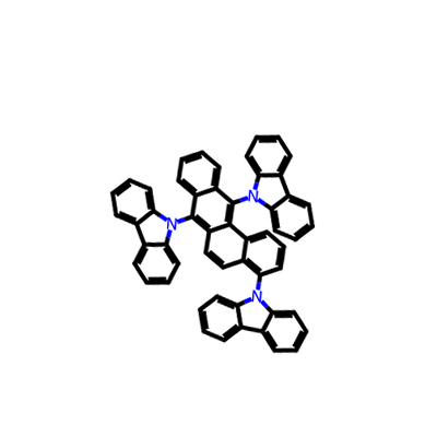 c1ccc2c(-n3c4ccccc4c4ccccc43)c3c(ccc4c(-n5c6ccccc6c6ccccc65)cccc43)c(-n3c4ccccc4c4ccccc43)c2c1